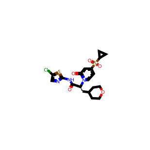 O=C(Nc1ncc(Cl)s1)[C@@H](CC1CCOCC1)n1ccc(S(=O)(=O)C2CC2)cc1=O